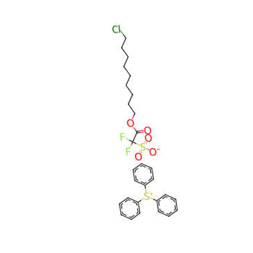 O=C(OCCCCCCCCCCl)C(F)(F)S(=O)(=O)[O-].c1ccc([S+](c2ccccc2)c2ccccc2)cc1